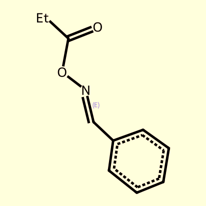 CCC(=O)O/N=C/c1ccccc1